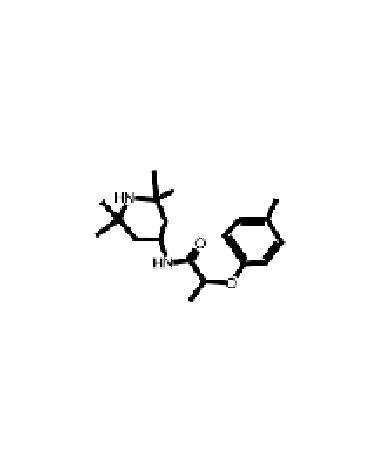 Cc1ccc(OC(C)C(=O)NC2CC(C)(C)NC(C)(C)C2)cc1